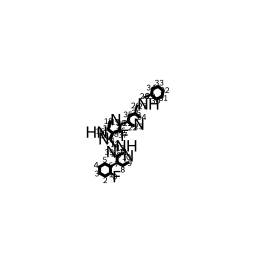 Fc1ccccc1-c1ccnc2[nH]c(-c3n[nH]c4cnc(-c5cncc(CNCc6ccccc6)c5)c(F)c34)nc12